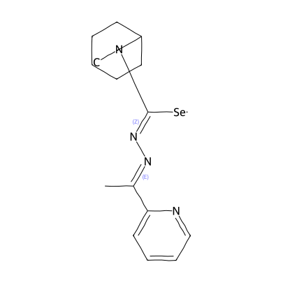 C/C(=N\N=C(/[Se])N1CC2CCC(CC2)C1)c1ccccn1